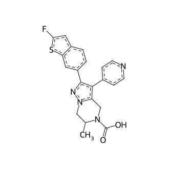 CC1Cn2nc(-c3ccc4cc(F)sc4c3)c(-c3ccncc3)c2CN1C(=O)O